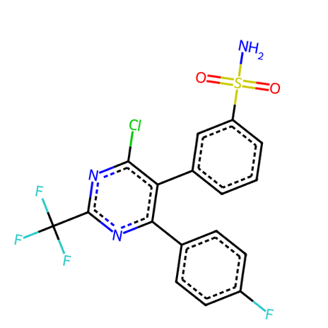 NS(=O)(=O)c1cccc(-c2c(Cl)nc(C(F)(F)F)nc2-c2ccc(F)cc2)c1